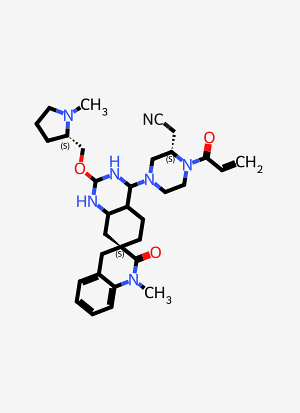 C=CC(=O)N1CCN(C2NC(OC[C@@H]3CCCN3C)NC3C[C@]4(CCC32)Cc2ccccc2N(C)C4=O)C[C@@H]1CC#N